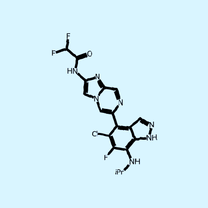 CC(C)Nc1c(F)c(Cl)c(-c2cn3cc(NC(=O)C(F)F)nc3cn2)c2cn[nH]c12